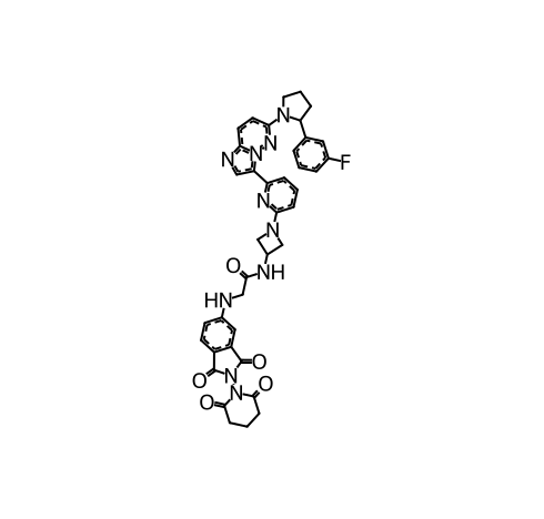 O=C(CNc1ccc2c(c1)C(=O)N(N1C(=O)CCCC1=O)C2=O)NC1CN(c2cccc(-c3cnc4ccc(N5CCCC5c5cccc(F)c5)nn34)n2)C1